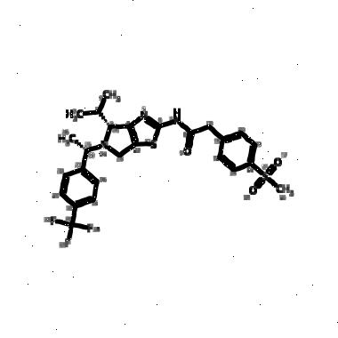 CC(C)[C@@H]1c2nc(NC(=O)Cc3ccc(S(C)(=O)=O)cc3)sc2CN1[C@@H](C)c1ccc(C(F)(F)F)cc1